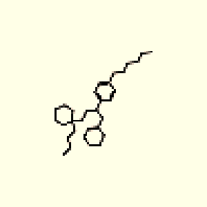 CCCCCCc1ccc(C(CCC2(CCCC)CCCCC2)CC2=CCCCC2)cc1